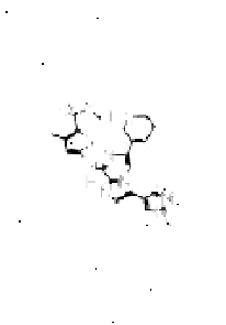 Cc1cc(Nc2nc(C3=CCCNC3)cn3c(-c4cnn(C)c4)cnc23)sc1C(=O)N(C)C